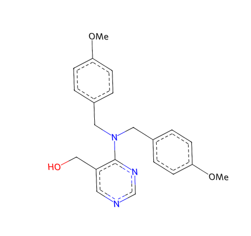 COc1ccc(CN(Cc2ccc(OC)cc2)c2ncncc2CO)cc1